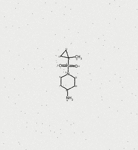 CC1(S(=O)(=O)N2CCC(N)CC2)CC1